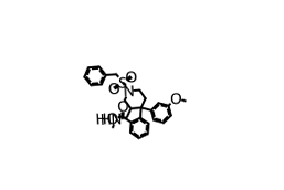 CNCC1CN(S(=O)(=O)Cc2ccccc2)CCC1(c1cccc(OC)c1)c1ccccc1C(=O)O